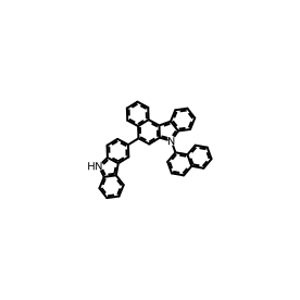 c1ccc2c(-n3c4ccccc4c4c5ccccc5c(-c5ccc6[nH]c7ccccc7c6c5)cc43)cccc2c1